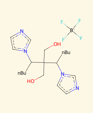 CCCCC(n1ccnc1)C(CO)(CO)C(CCCC)n1ccnc1.F[B-](F)(F)F